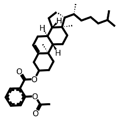 CC(=O)Oc1ccccc1C(=O)OC1CC[C@@]2(C)C(=CC[C@H]3[C@@H]4CC[C@H]([C@H](C)CCCC(C)C)[C@@]4(C)CC[C@@H]32)C1